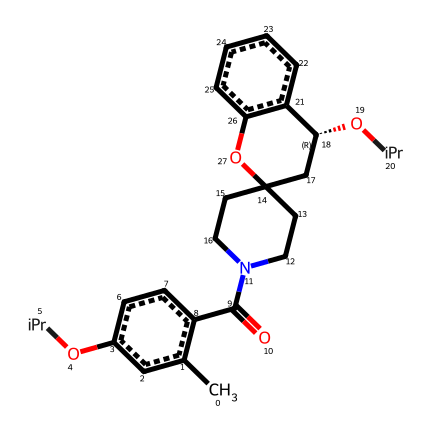 Cc1cc(OC(C)C)ccc1C(=O)N1CCC2(CC1)C[C@@H](OC(C)C)c1ccccc1O2